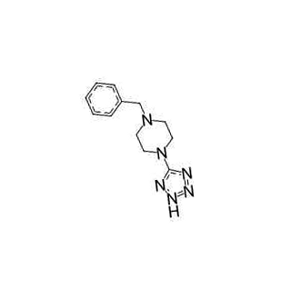 c1ccc(CN2CCN(c3nn[nH]n3)CC2)cc1